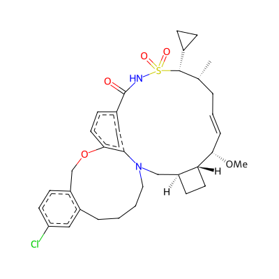 CO[C@H]1/C=C/C[C@@H](C)[C@@H](C2CC2)S(=O)(=O)NC(=O)c2ccc3c(c2)N(CCCCc2cc(Cl)ccc2CO3)C[C@@H]2CC[C@H]21